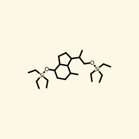 CC[Si](CC)(CC)OCC(C)C1CCC2C(O[Si](CC)(CC)CC)CCC(C)C12